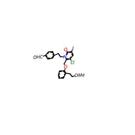 COCCc1ccccc1OCc1c(Cl)cc(I)c(=O)n1CCc1ccc(C=O)cc1